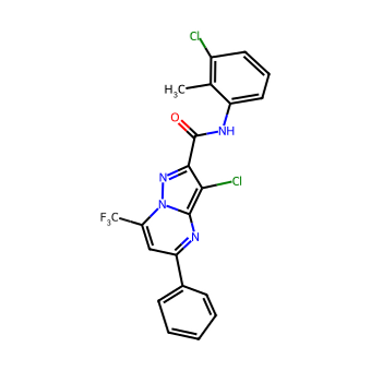 Cc1c(Cl)cccc1NC(=O)c1nn2c(C(F)(F)F)cc(-c3ccccc3)nc2c1Cl